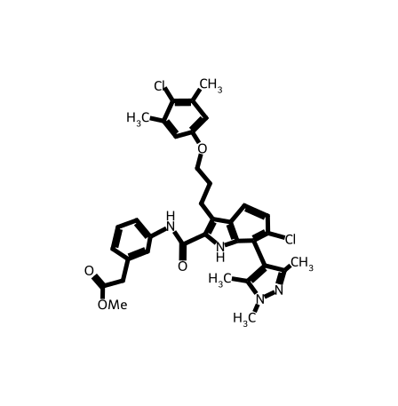 COC(=O)Cc1cccc(NC(=O)c2[nH]c3c(-c4c(C)nn(C)c4C)c(Cl)ccc3c2CCCOc2cc(C)c(Cl)c(C)c2)c1